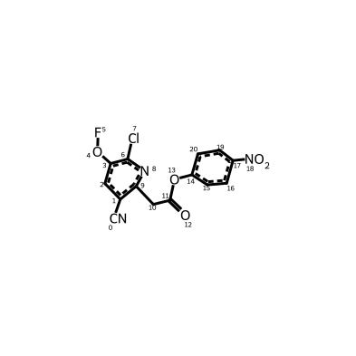 N#Cc1cc(OF)c(Cl)nc1CC(=O)Oc1ccc([N+](=O)[O-])cc1